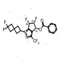 O=C(O[C@H]1c2c(C(F)(F)F)nn(C3CC4(C3)CC(F)(F)C4)c2[C@@H](F)[C@H]1F)c1ccccc1